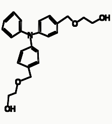 OCCOCc1ccc(N(c2ccccc2)c2ccc(COCCO)cc2)cc1